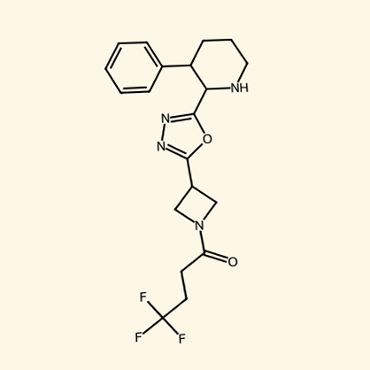 O=C(CCC(F)(F)F)N1CC(c2nnc(C3NCCCC3c3ccccc3)o2)C1